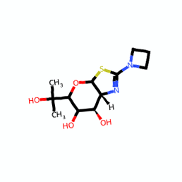 CC(C)(O)C1OC2SC(N3CCC3)=N[C@@H]2[C@@H](O)C1O